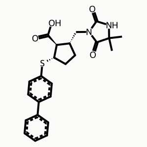 CC1(C)NC(=O)N(C[C@@H]2CC[C@H](Sc3ccc(-c4ccccc4)cc3)[C@H]2C(=O)O)C1=O